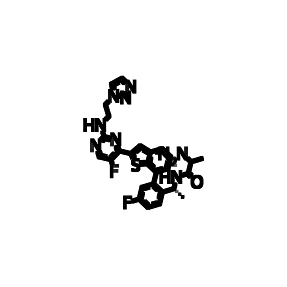 CC(N)C(=O)N[C@H](C)c1ccc(F)cc1-c1cccc2cc(-c3nc(NCCn4ccnn4)ncc3F)sc12